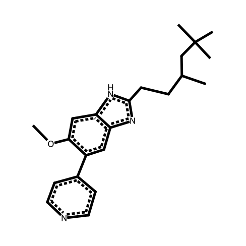 COc1cc2[nH]c(CCC(C)CC(C)(C)C)nc2cc1-c1ccncc1